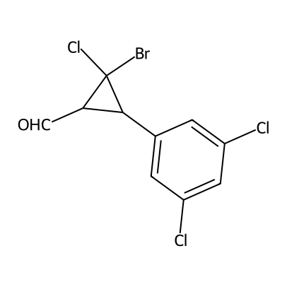 O=CC1C(c2cc(Cl)cc(Cl)c2)C1(Cl)Br